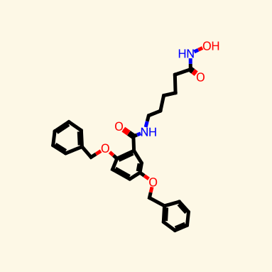 O=C(CCCCCNC(=O)c1cc(OCc2ccccc2)ccc1OCc1ccccc1)NO